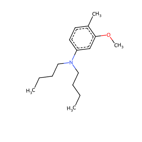 CCCCN(CCCC)c1ccc(C)c(OC)c1